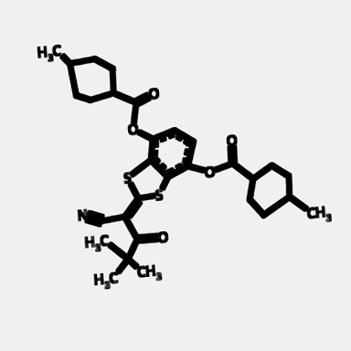 CC1CCC(C(=O)Oc2ccc(OC(=O)C3CCC(C)CC3)c3c2SC(=C(C#N)C(=O)C(C)(C)C)S3)CC1